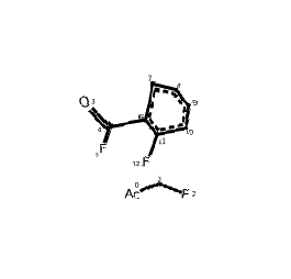 CC(=O)CF.O=C(F)c1ccccc1F